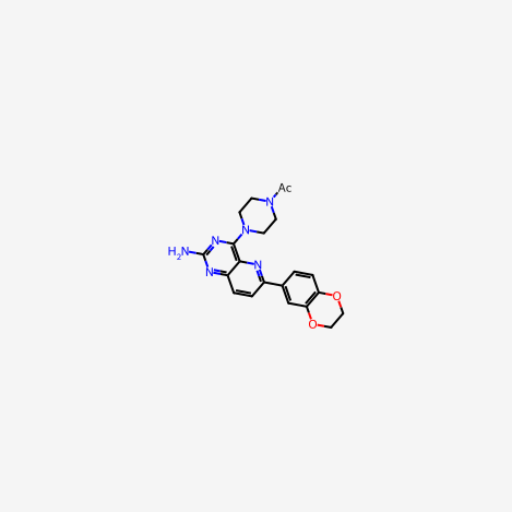 CC(=O)N1CCN(c2nc(N)nc3ccc(-c4ccc5c(c4)OCCO5)nc23)CC1